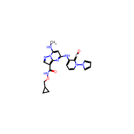 CNc1cc(NC2=CC=CN(n3cccc3)C2=C=O)nc2c(C(=O)NOCC3CC3)cnn12